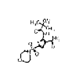 CC(C)(O)C(=O)Nc1sc(S(=O)(=O)N2CCOCC2)cc1C(N)=O